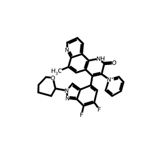 Cc1cc2c(-c3cc(F)c(F)c4nn(C5CCCCO5)cc34)c(-[n+]3ccccc3)c(=O)[nH]c2c2cccnc12